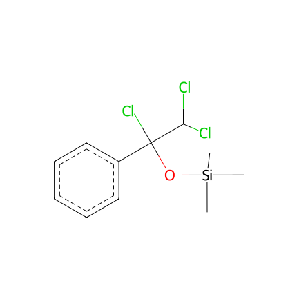 C[Si](C)(C)OC(Cl)(c1ccccc1)C(Cl)Cl